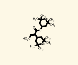 CC1(C)CC(OC(=O)C(=CC(=O)O)C2CC(C)(C)NC(C)(C)C2)CC(C)(C)N1